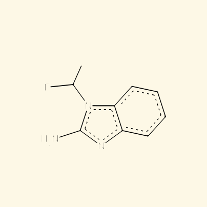 Nc1nc2ccccc2n1C(F)F